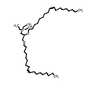 CCCCCCCC/C=C\CCCCCCCCOCC(C[N+](CC)(CC)CC)OCCCCCCCC/C=C\CCCCCCCC